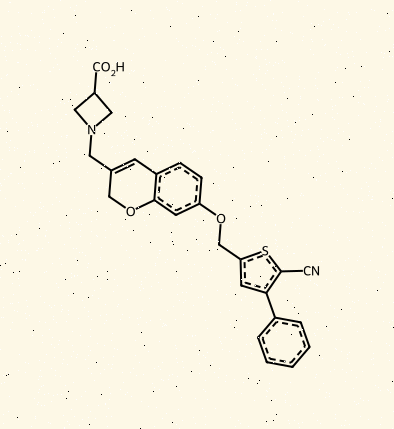 N#Cc1sc(COc2ccc3c(c2)OCC(CN2CC(C(=O)O)C2)=C3)cc1-c1ccccc1